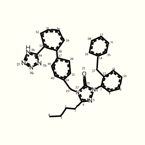 CCCCc1nn(-c2ccccc2Cc2ccccc2)c(=O)n1Cc1ccc(-c2ccccc2-c2nnn[nH]2)cc1